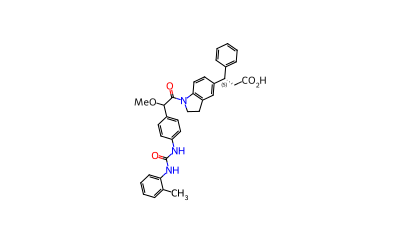 COC(C(=O)N1CCc2cc([C@@H](CC(=O)O)c3ccccc3)ccc21)c1ccc(NC(=O)Nc2ccccc2C)cc1